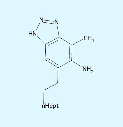 CCCCCCCCCc1cc2[nH]nnc2c(C)c1N